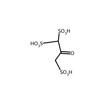 O=C(CS(=O)(=O)O)C(S(=O)(=O)O)S(=O)(=O)O